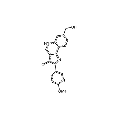 COc1ccc(-n2nc3c4ccc(CO)cc4[nH]cc-3c2=O)cn1